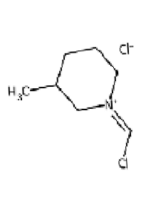 CC1CCC[N+](=CCl)C1.[Cl-]